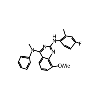 COc1cccc2c(N(C)c3ccccc3)nc(Nc3ccc(F)cc3C)nc12